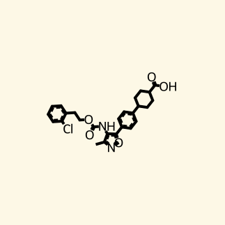 Cc1noc(-c2ccc(C3CCC(C(=O)O)CC3)cc2)c1NC(=O)OCCc1ccccc1Cl